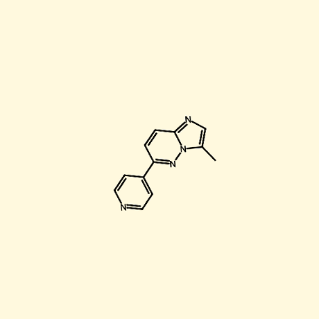 Cc1cnc2ccc(-c3ccncc3)nn12